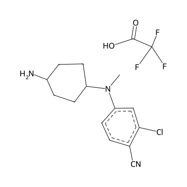 CN(c1ccc(C#N)c(Cl)c1)C1CCC(N)CC1.O=C(O)C(F)(F)F